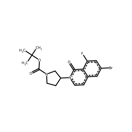 CC(C)(C)OC(=O)N1CCC(n2ccc3cc(Br)cc(F)c3c2=O)C1